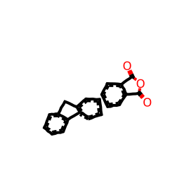 O=C1OC(=O)c2ccccc21.c1ccc2c(c1)Cc1ccccc1-2